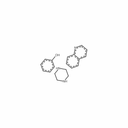 C1CNCCN1.Oc1ccccc1.c1ccc2ncccc2c1